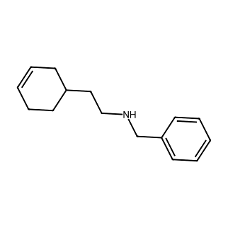 C1=CCC(CCNCc2ccccc2)CC1